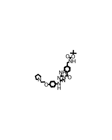 CC(C)(C)OC(=O)NCc1ccc(C(=O)n2nc(Nc3ccc(OCCN4CCCC4)cc3)nc2N)cc1